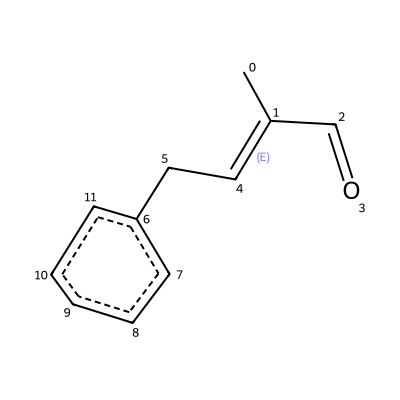 C/C(C=O)=C\Cc1ccccc1